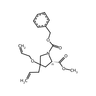 C=CCOC1(CC=C)C[C@@H](C(=O)OC)N(C(=O)OCc2ccccc2)C1